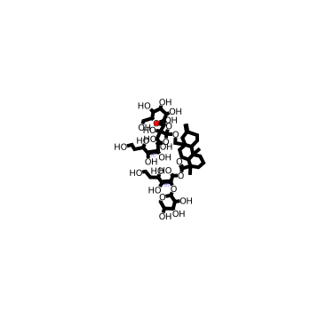 C=C1CCC2C(COC(OC(O)/C(O)=C(/O)C(O)CCO)(OC3OC(CO)C(O)C(O)C3O)C(O)(CO)C(C)O)(CCC3C(C)(C(=O)OC(O)/C(OC4OCC(O)C(O)C4O)=C(/O)C(O)CCO)CCCC23C)C1